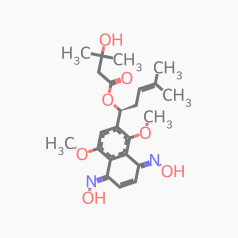 COc1cc([C@H](CC=C(C)C)OC(=O)CC(C)(C)O)c(OC)c2c1C(=NO)C=CC2=NO